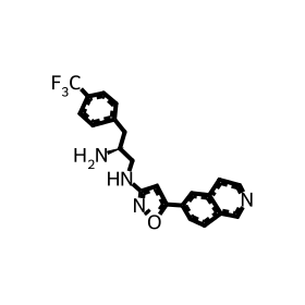 N[C@H](CNc1cc(-c2ccc3cnccc3c2)on1)Cc1ccc(C(F)(F)F)cc1